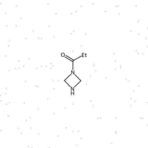 CCC(=O)N1CNC1